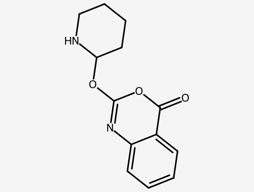 O=c1oc(OC2CCCCN2)nc2ccccc12